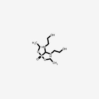 CCOP(=O)(OCC)C(NCCO)NCCO